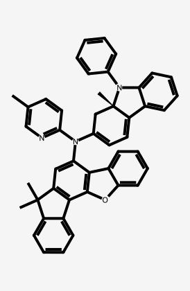 Cc1ccc(N(C2=CC=C3c4ccccc4N(c4ccccc4)[C@@]3(C)C2)c2cc3c(c4oc5ccccc5c24)-c2ccccc2C3(C)C)nc1